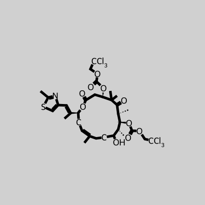 C/C1=C/C[C@@H](/C(C)=C/c2csc(C)n2)OC(=O)C[C@H](OC(=O)OCC(Cl)(Cl)Cl)C(C)(C)C(=O)[C@H](C)[C@@H](OC(=O)OCC(Cl)(Cl)Cl)[C@H](C)C(O)CC1